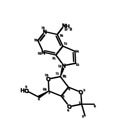 CC1(C)OC2C(O1)[C@@H](CO)O[C@H]2n1ccc2c(N)ncnc21